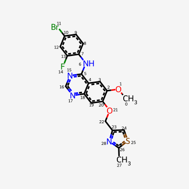 COc1cc2c(Nc3ccc(Br)cc3F)ncnc2cc1OCc1csc(C)n1